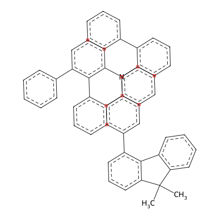 CC1(C)c2ccccc2-c2c(-c3ccc(N(c4ccccc4-c4ccccc4)c4cccc(-c5ccccc5)c4-c4ccccc4-c4ccccc4)cc3)cccc21